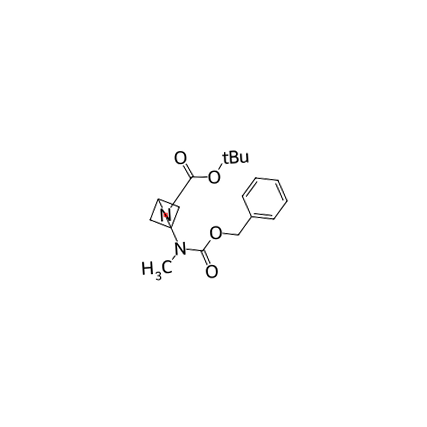 CN(C(=O)OCc1ccccc1)C12CC(C1)N(C(=O)OC(C)(C)C)C2